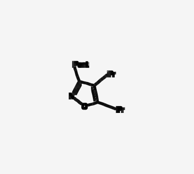 CCCC(C)c1noc(C(C)C)c1C(C)C